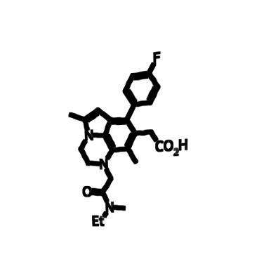 CCN(C)C(=O)CN1CCn2c(C)cc3c(-c4ccc(F)cc4)c(CC(=O)O)c(C)c1c32